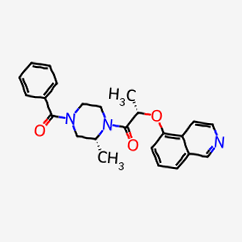 C[C@H](Oc1cccc2cnccc12)C(=O)N1CCN(C(=O)c2ccccc2)C[C@H]1C